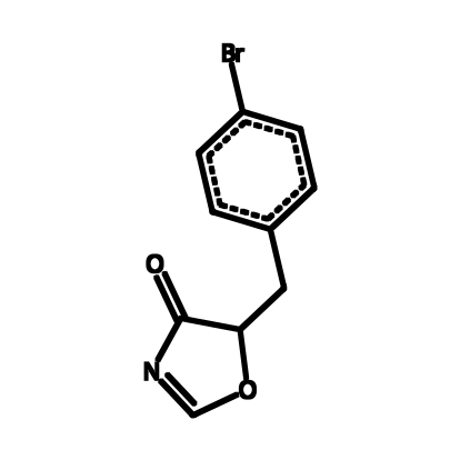 O=C1N=COC1Cc1ccc(Br)cc1